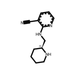 N#Cc1cccnc1NC[C@@H]1CCCCN1